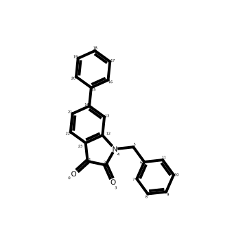 O=C1C(=O)N(Cc2ccccc2)c2cc(-c3ccccc3)ccc21